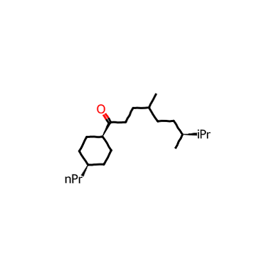 CCC[C@H]1CC[C@@H](C(=O)CCC(C)CC[C@H](C)C(C)C)CC1